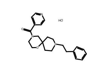 Cl.O=C(c1ccncc1)N1CCOC2(CCN(CCc3ccccc3)CC2)C1